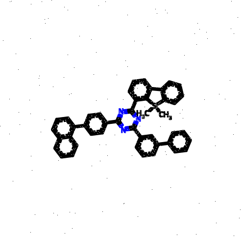 C[Si]1(C)c2ccccc2-c2cccc(-c3nc(-c4ccc(-c5cccc6ccccc56)cc4)nc(-c4cccc(-c5ccccc5)c4)n3)c21